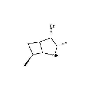 CC[C@H]1C2C[C@H](C)C2N[C@H]1C